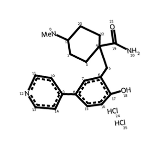 CNC1CCC(Cc2cc(-c3ccncc3)ccc2O)(C(N)=O)CC1.Cl.Cl